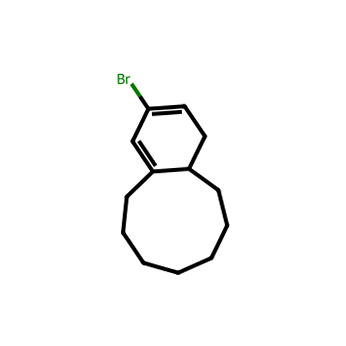 BrC1=CCC2CCCCCCCC2=C1